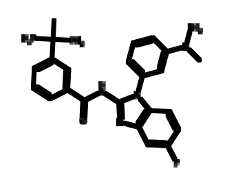 BN(C)c1cccc(-n2c(NC(=O)c3cccc(C(C)(P)P)c3)nc3cc(F)ccc32)c1